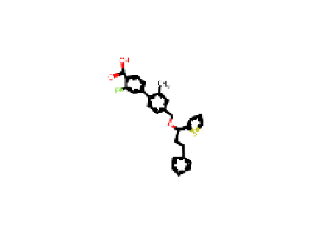 Cc1cc(COC(CCc2ccccc2)c2cccs2)ccc1-c1ccc(C(=O)O)c(F)c1